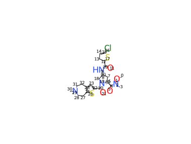 CON(C)C(=O)[C@@H]1C[C@@H](NC(=O)C2CC=C(Cl)S2)CN1C(=O)c1cc2c(s1)CCN(C)CC2